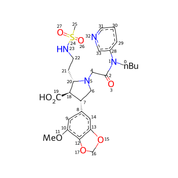 CCCCN(C(=O)CN1C[C@H](c2cc(OC)c3c(c2)OCO3)[C@@H](C(=O)O)[C@@H]1CCNS(C)(=O)=O)c1cccnc1